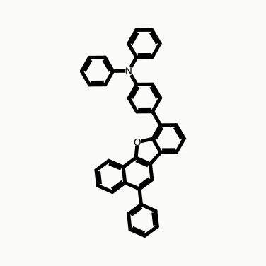 c1ccc(-c2cc3c4cccc(-c5ccc(N(c6ccccc6)c6ccccc6)cc5)c4oc3c3ccccc23)cc1